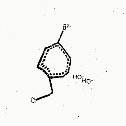 [B+2]c1ccc(CCl)cc1.[OH-].[OH-]